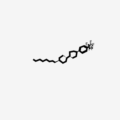 CCCCCCCC[C@H]1CC[C@H]([C@H]2CC[C@H](c3ccc(S(F)(F)(F)(F)F)cc3)CC2)CC1